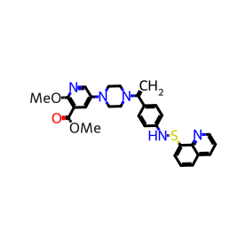 C=C(c1ccc(NSc2cccc3cccnc23)cc1)N1CCN(c2cnc(OC)c(C(=O)OC)c2)CC1